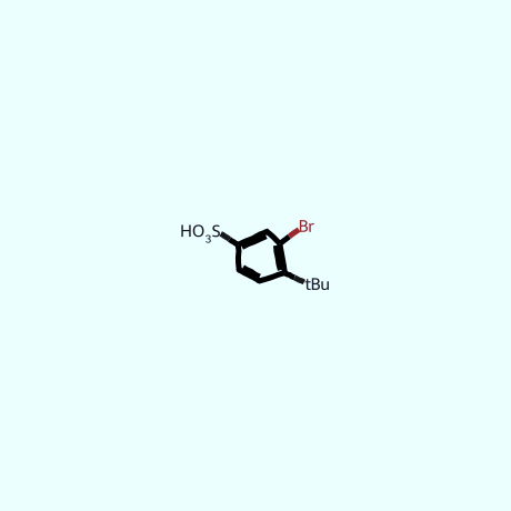 CC(C)(C)c1ccc(S(=O)(=O)O)cc1Br